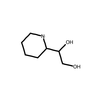 OCC(O)C1CCCC[N]1